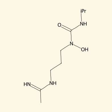 CC(=N)NCCCN(O)C(=O)NC(C)C